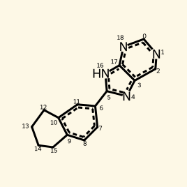 c1ncc2nc(-c3ccc4c(c3)CCCC4)[nH]c2n1